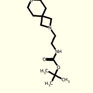 CC(C)(C)OC(=O)NCCN1CC2(CCOCC2)C1